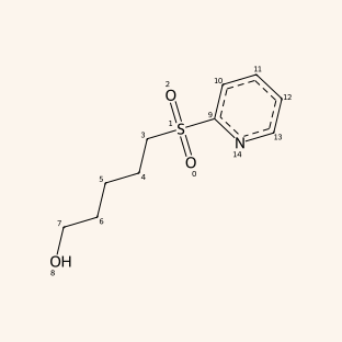 O=S(=O)(CCCCCO)c1ccccn1